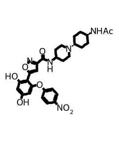 CC(=O)N[C@H]1CC[C@H](N2CCC(NC(=O)c3cc(-c4c(O)cc(O)cc4Oc4ccc([N+](=O)[O-])cc4)on3)CC2)CC1